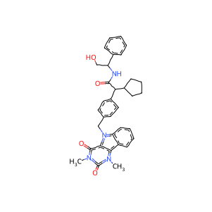 Cn1c(=O)c2c(c3ccccc3n2Cc2ccc(C(C(=O)NC(CO)c3ccccc3)C3CCCC3)cc2)n(C)c1=O